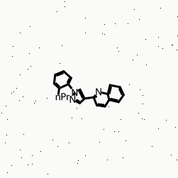 CCCc1ccccc1-n1cc(-c2ccc3ccccc3n2)cn1